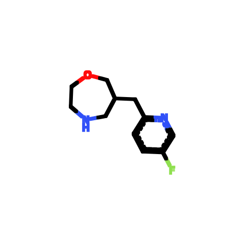 Fc1ccc(CC2CNCCOC2)nc1